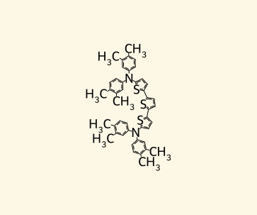 Cc1ccc(N(c2ccc(C)c(C)c2)c2ccc(-c3ccc(-c4ccc(N(c5ccc(C)c(C)c5)c5ccc(C)c(C)c5)s4)s3)s2)cc1C